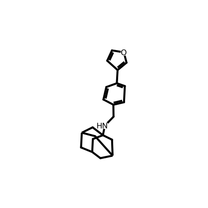 c1cc(-c2ccc(CNC34CC5CC(CC(C5)C3)C4)cc2)co1